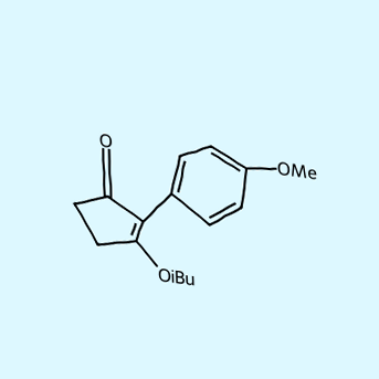 COc1ccc(C2=C(OCC(C)C)CCC2=O)cc1